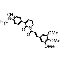 COc1cc(C=CC(=O)N2CCC=C(c3ccc(N(C)C)cc3)C2=O)cc(OC)c1OC